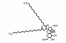 CCCCCCCCCCCCCCCC(=O)OC(C(=O)CCCCCCCCCCCCCCC)[C@@]1(O[C@H]2O[C@H](CO)[C@@H](O)[C@H](O)[C@H]2O)O[C@H](CO)[C@@H](O)[C@@H]1O